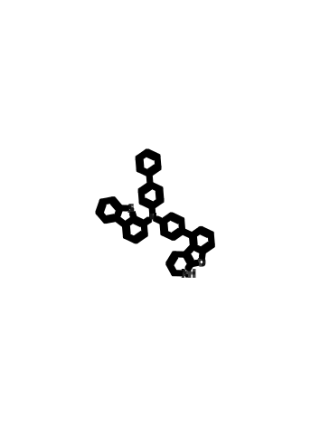 C1=Cc2c(oc3cccc(-c4ccc(N(c5ccc(-c6ccccc6)cc5)c5cccc6c5sc5ccccc56)cc4)c23)NC1